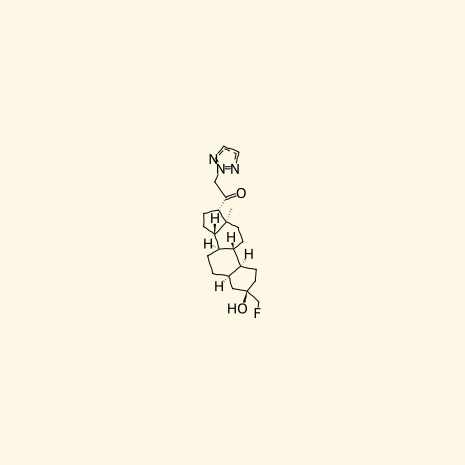 C[C@]12CC[C@H]3[C@@H](CC[C@@H]4C[C@@](O)(CF)CC[C@@H]43)[C@@H]1CC[C@@H]2C(=O)Cn1nccn1